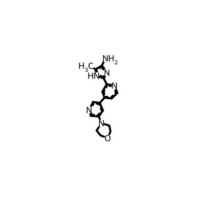 Cc1[nH]c(-c2cc(-c3cncc(N4CCOCC4)c3)ccn2)nc1N